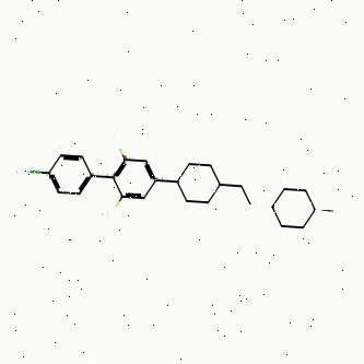 CC[C@H]1CC[C@H](CCC2CCC(c3cc(F)c(-c4ccc(Cl)cc4)c(F)c3)CC2)CC1